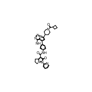 Nc1ncnn2c(C3CCN(C(=O)C4CCC4)CC3)cc(-c3ccc(NC(=O)c4c5n(n(-c6ccccn6)c4=O)CCC5)cc3)c12